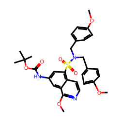 COc1ccc(CN(Cc2ccc(OC)cc2)S(=O)(=O)c2cc(NC(=O)OC(C)(C)C)cc3c(OC)nccc23)cc1